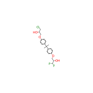 CC(C)(c1ccc(OC[C@@H](O)CCl)cc1)c1ccc(OC[C@@H](O)C(F)F)cc1